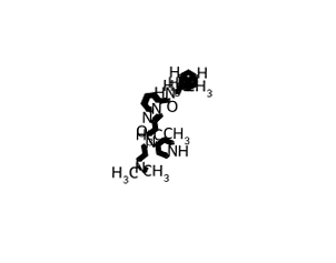 CN(C)CCCN(C(=O)Cc1cn2c(C(=O)NC[C@@H]3CC[C@@H]4C[C@H]3C4(C)C)cccc2n1)C1CCNCC1(C)C